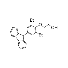 CCc1cc(C2c3ccccc3-c3ccccc32)cc(CC)c1OCCO